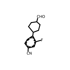 N#Cc1ccc(C2CCC(C=O)CC2)c(F)c1